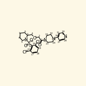 O=C(COCC1CCCCN1S(=O)(=O)c1c(Cl)cccc1Cl)N1CCN(c2ccncc2)CC1